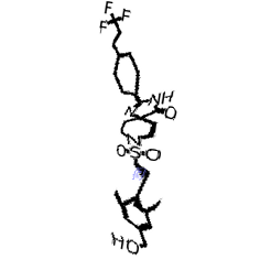 Cc1cc(CO)cc(C)c1/C=C/S(=O)(=O)N1CCC2(CC1)N=C(C1CCC(CCC(F)(F)F)CC1)NC2=O